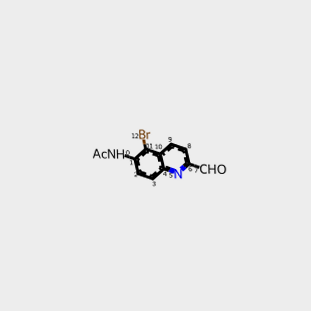 CC(=O)Nc1ccc2nc(C=O)ccc2c1Br